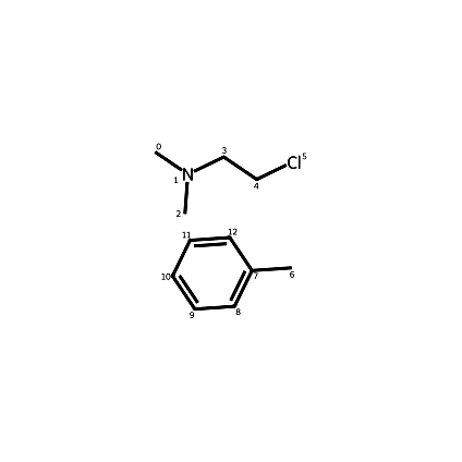 CN(C)CCCl.Cc1ccccc1